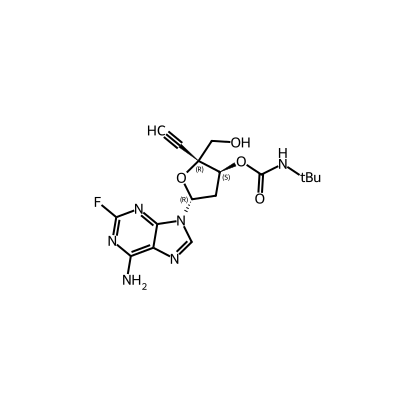 C#C[C@]1(CO)O[C@@H](n2cnc3c(N)nc(F)nc32)C[C@@H]1OC(=O)NC(C)(C)C